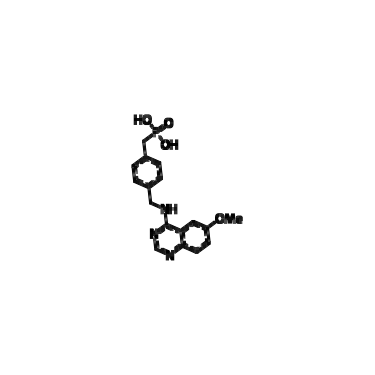 COc1ccc2ncnc(NCc3ccc(CP(=O)(O)O)cc3)c2c1